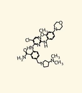 COc1cc(N2CCOCC2)ccc1Nc1ncc(Cl)c(Nc2ccc(CN3CCC(N(C)C)C3)cc2C(N)=O)n1